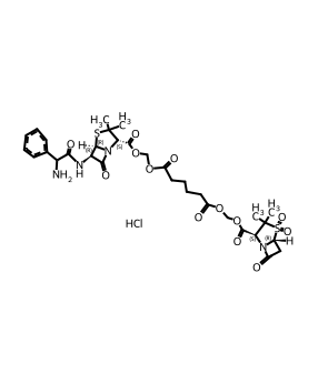 CC1(C)S[C@@H]2[C@H](NC(=O)C(N)c3ccccc3)C(=O)N2[C@H]1C(=O)OCOC(=O)CCCCC(=O)OCOC(=O)[C@@H]1N2C(=O)C[C@H]2S(=O)(=O)C1(C)C.Cl